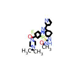 CC(=O)Nc1nc2c(s1)-c1c(c(-c3cccnc3)nn1-c1cc(F)c(C(=O)N3CCN(C(C)C)CC3)cc1F)CC2